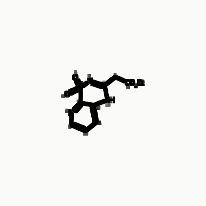 CCOC(=O)CC1=NS(=O)(=O)c2ncccc2N1